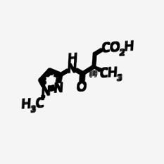 C[C@H](CC(=O)O)C(=O)Nc1ccn(C)n1